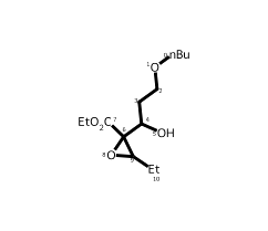 CCCCOCCC(O)C1(C(=O)OCC)OC1CC